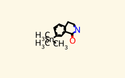 [CH3][Sn]([CH3])([CH3])[c]1ccc2c(c1)C(=O)N=CC2